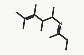 CC/C(C)=N/C(C)C(C)C(C)=C(C)C